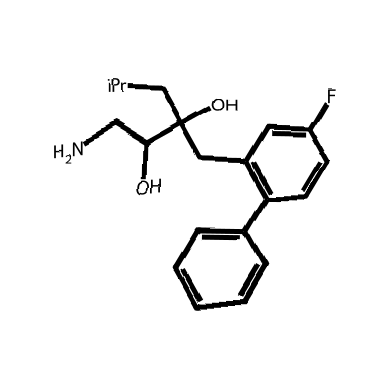 CC(C)CC(O)(Cc1cc(F)ccc1-c1ccccc1)C(O)CN